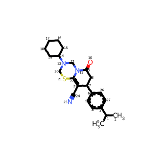 CC(C)c1ccc(C2CC(=O)N3CN(C4CCCCC4)CSC3=C2C#N)cc1